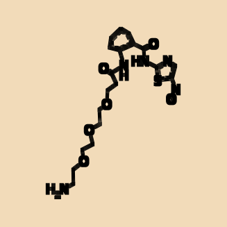 NCCOCCOCCOCCC(=O)Nc1ccccc1C(=O)Nc1ncc(N=O)s1